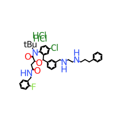 CC(C)(C)CN1C(=O)C(CC(=O)NCc2ccccc2F)OC(c2cccc(CNCCNCCCc3ccccc3)c2)c2cc(Cl)ccc21.Cl.Cl